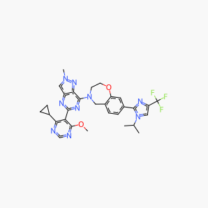 COc1ncnc(C2CC2)c1-c1nc(N2CCOc3cc(-c4nc(C(F)(F)F)cn4C(C)C)ccc3C2)c2nn(C)cc2n1